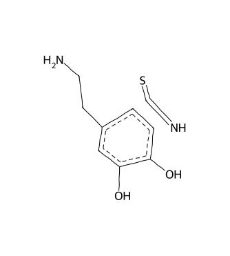 N=C=S.NCCc1ccc(O)c(O)c1